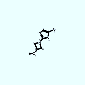 COC1CN(c2ncc(Br)s2)C1